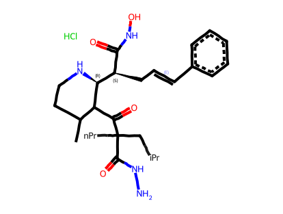 CCCC(CC(C)C)(C(=O)NN)C(=O)C1C(C)CCN[C@H]1[C@H](C/C=C/c1ccccc1)C(=O)NO.Cl